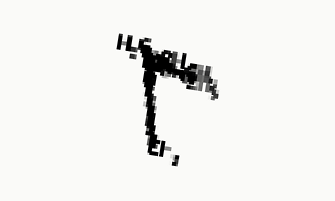 CCCCCCCCCCCCCCOCC(COP(O)OCCCCN(C)C)CC(=O)CCC